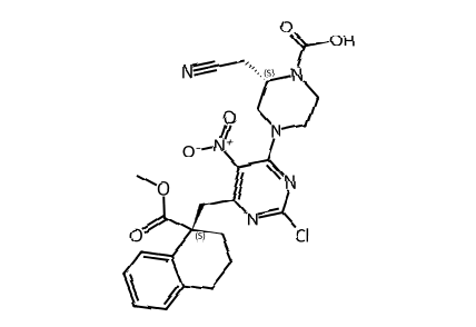 COC(=O)[C@]1(Cc2nc(Cl)nc(N3CCN(C(=O)O)[C@@H](CC#N)C3)c2[N+](=O)[O-])CCCc2ccccc21